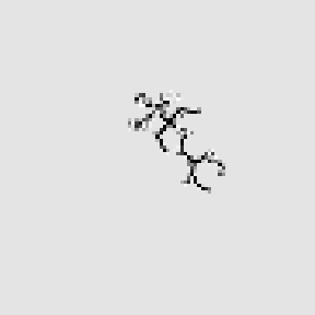 CCC(CC)(OCC(OC)OC)P(=O)(O)O